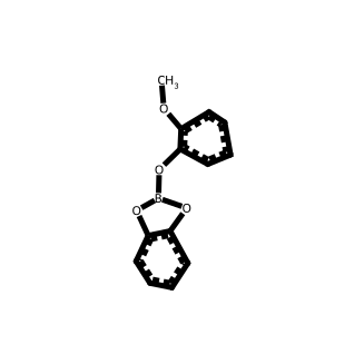 COc1ccccc1OB1Oc2ccccc2O1